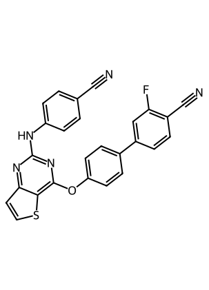 N#Cc1ccc(Nc2nc(Oc3ccc(-c4ccc(C#N)c(F)c4)cc3)c3sccc3n2)cc1